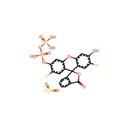 O=C1OC2(c3cc(F)c(O)cc3Oc3cc(OP(=O)(O)OP(=O)(O)O)c(F)cc32)c2ccccc21.O=[SH2]=O